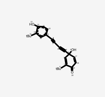 CC(C)(C)C1=CC(O)(C#CC#Cc2ccc(O)c(C(C)(C)C)c2)C=CC1=O